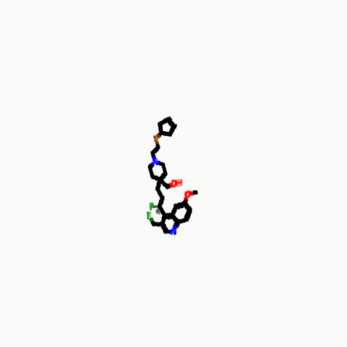 COc1ccc2ncc(CF)c([C@H](F)CCC3(CO)CCN(CCSC4CCCC4)CC3)c2c1